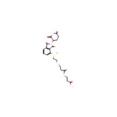 O=C(O)CCNC(=O)CCOCC[S+]([O-])c1cccc2c1C(=O)N(C1CCC(=O)NC1=O)C2=O